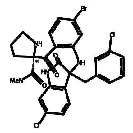 CNC(=O)[C@]1(C(=O)c2ccc(Br)cc2NC2(Cc3cccc(Cl)c3)C(=O)Nc3cc(Cl)ccc32)CCCN1